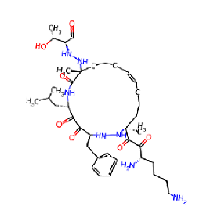 CC(C)C[C@@H]1NC(=O)[C@](C)(NN[C@H](C=O)[C@@H](C)O)CCC/C=C\CCC[C@@](C)(C(=O)C(=O)[C@@H](N)CCCCN)NN[C@@H](Cc2ccccc2)C(=O)C1=O